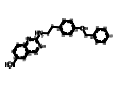 Nc1ccc2nc(NCCc3ccc(OCc4ccccc4)cc3)ncc2c1